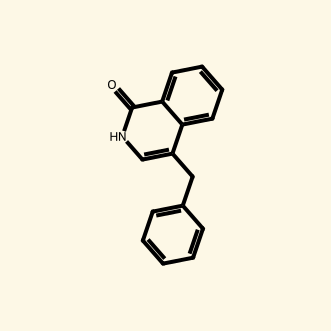 O=c1[nH]cc(Cc2ccccc2)c2ccccc12